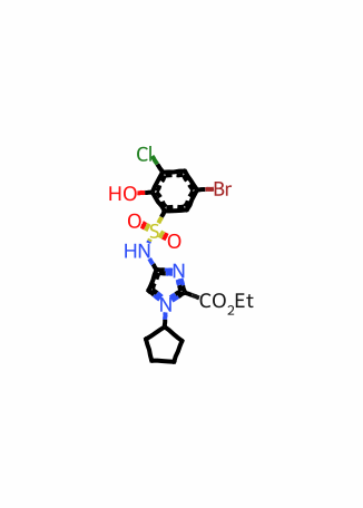 CCOC(=O)c1nc(NS(=O)(=O)c2cc(Br)cc(Cl)c2O)cn1C1CCCC1